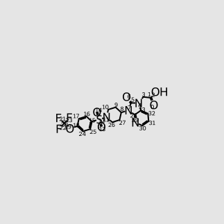 O=C(O)Cn1c(=O)n(C2CCN(S(=O)(=O)c3ccc(OC(F)(F)F)cc3)CC2)c2ncccc21